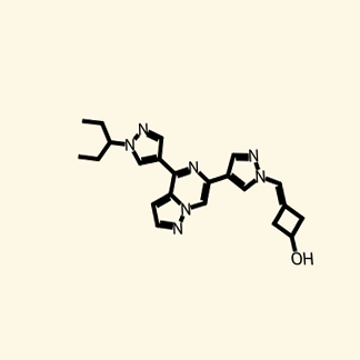 CCC(CC)n1cc(-c2nc(-c3cnn(C=C4CC(O)C4)c3)cn3nccc23)cn1